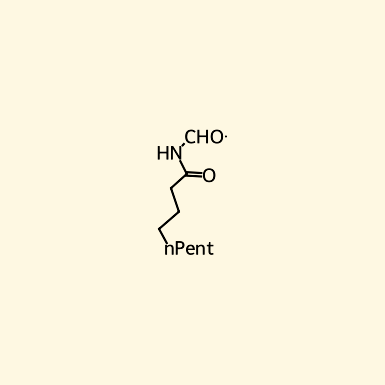 CCCCCCCCC(=O)N[C]=O